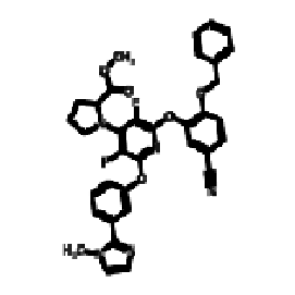 COC(=O)C1CCCN1c1c(F)c(Oc2cccc(-c3nccn3C)c2)nc(Oc2cc(C#N)ccc2OCc2ccccc2)c1F